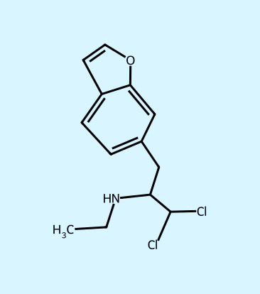 CCNC(Cc1ccc2ccoc2c1)C(Cl)Cl